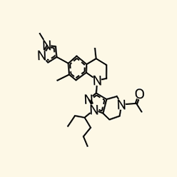 CCCC(CC)n1nc(N2CCC(C)c3cc(-c4cnn(C)c4)c(C)cc32)c2c1CCN(C(C)=O)C2